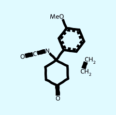 C=C.COc1cccc(C2(N=C=O)CCC(=O)CC2)c1